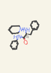 O=C(Nc1ccccc1)[C@H](Cc1ccccc1)NN1CCCCC1